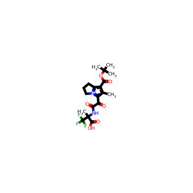 Cc1c(C(=O)OC(C)(C)C)c2n(c1C(=O)C(=O)NC(C)(C(=O)O)C(F)(F)F)CCC2